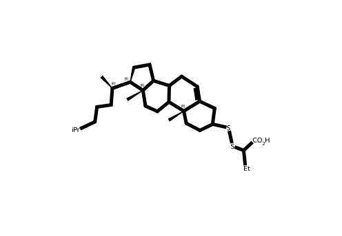 CCC(SSC1CC[C@@]2(C)C(=CCC3C2CC[C@@]2(C)C3CC[C@@H]2[C@H](C)CCCC(C)C)C1)C(=O)O